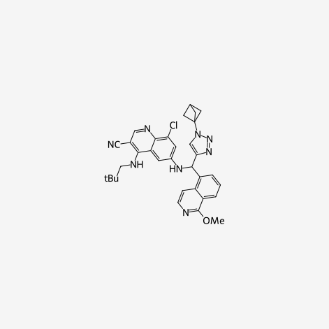 COc1nccc2c(C(Nc3cc(Cl)c4ncc(C#N)c(NCC(C)(C)C)c4c3)c3cn(C45CC(C4)C5)nn3)cccc12